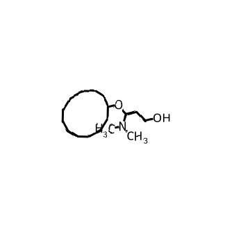 CN(C)C(CCO)OC1CCCCCCCCCCC1